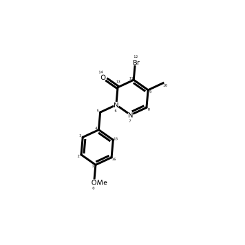 COc1ccc(Cn2ncc(C)c(Br)c2=O)cc1